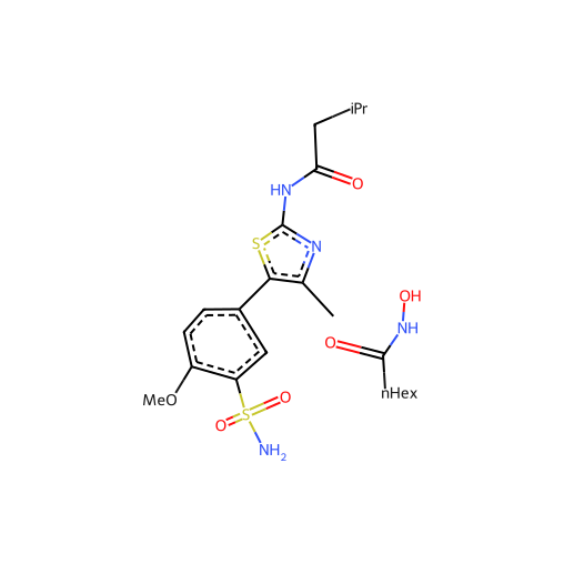 CCCCCCC(=O)NO.COc1ccc(-c2sc(NC(=O)CC(C)C)nc2C)cc1S(N)(=O)=O